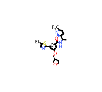 CCc1cnc(-c2cc(OC[C@H]3CCOC3)cc(C(=O)NC(C)c3ccc(C(F)(F)F)nn3)c2)s1